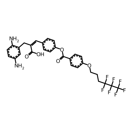 Nc1ccc(N)c(CC(=Cc2ccc(OC(=O)c3ccc(OCCCC(F)(F)C(F)(F)C(F)(F)F)cc3)cc2)C(=O)O)c1